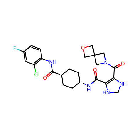 O=C(N[C@H]1CC[C@H](C(=O)Nc2ccc(F)cc2Cl)CC1)C1=C(C(=O)N2CC3(COC3)C2)NCN1